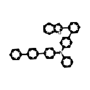 c1ccc(-c2ccc(-c3ccc(N(c4ccccc4)c4ccc(-c5ccccc5-c5cc6ccccc6o5)cc4)cc3)cc2)cc1